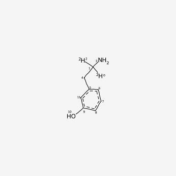 [2H]C([2H])(N)Cc1cccc(O)c1